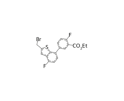 CCOC(=O)c1cc(-c2ccc(F)c3cc(CBr)sc23)ccc1F